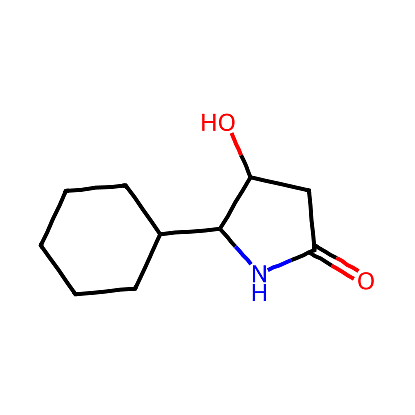 O=C1CC(O)C(C2CCCCC2)N1